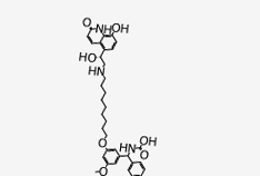 COc1cc(OCCCCCCCCCNC[C@H](O)c2ccc(O)c3[nH]c(=O)ccc23)cc(C(NC(=O)O)c2ccccc2)c1